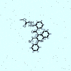 COC(=O)NNc1ccccc1C(=O)c1c(CBr)c(-c2ccccc2)nc2ccccc12